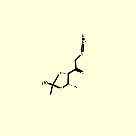 C[C@H](OC(C)(C)O)[C@H](C)C(=O)CN=[N+]=[N-]